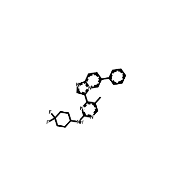 Cc1cnc(NC2CCC(F)(F)CC2)nc1-c1cnc2ccc(-c3ccccc3)cn12